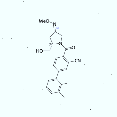 CO/N=C1\C[C@@H](CO)N(C(=O)c2ccc(-c3cccc(C)c3C)cc2C#N)C1